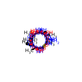 CCCCC[C@@H]1NC(=O)[C@H](CCCNC(=N)N)NC(=O)[C@H](C)NC(=O)CSC[C@@H](C(N)=O)NC(=O)[C@H](CC(=O)O)NC(=O)[C@H](CCCCC)NC(=O)[C@H](Cc2ccc(-c3ccccc3)cc2)NC(=O)[C@H](CC(C)C)NC(=O)[C@H](C(C)C)NC(=O)[C@H](CCS(C)(=O)=O)NC(=O)[C@H](CC(=O)O)NC(=O)[C@H](Cc2c[nH]cn2)NC(=O)[C@H](Cc2ccc(O)cc2)NC1=O